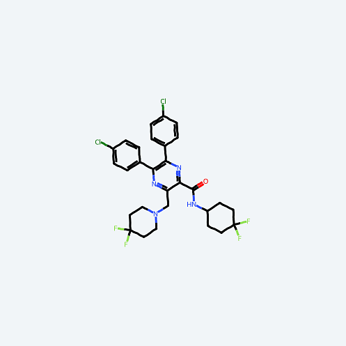 O=C(NC1CCC(F)(F)CC1)c1nc(-c2ccc(Cl)cc2)c(-c2ccc(Cl)cc2)nc1CN1CCC(F)(F)CC1